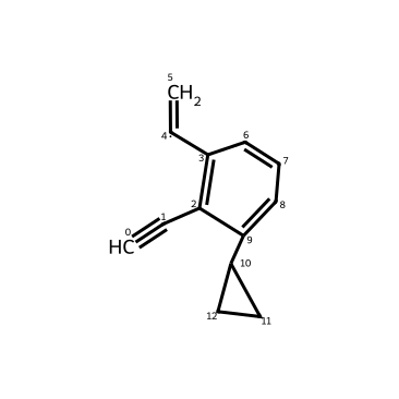 C#Cc1c([C]=C)cccc1C1CC1